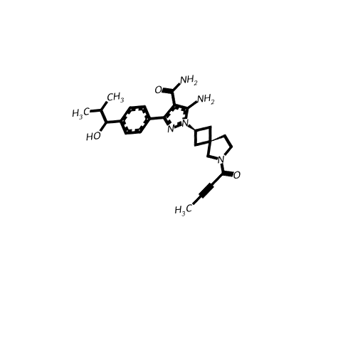 CC#CC(=O)N1CC[C@]2(C1)C[C@H](n1nc(-c3ccc(C(O)C(C)C)cc3)c(C(N)=O)c1N)C2